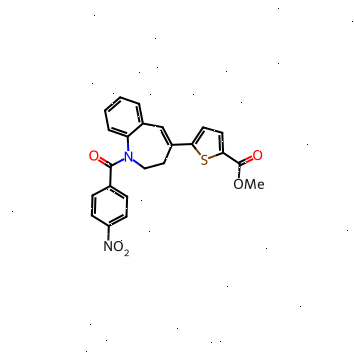 COC(=O)c1ccc(C2=Cc3ccccc3N(C(=O)c3ccc([N+](=O)[O-])cc3)CC2)s1